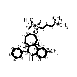 CN(C)CCCS(=O)(=O)N(C)C[C@H]1CC[C@@H]2[C@H](CC1)c1cc(C(F)(F)F)ccc1N[C@H]2c1ccccc1